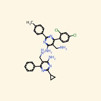 Cc1ccc(-c2nc(N)c(CN)c(-c3ccc(Cl)cc3Cl)n2)cc1.NCc1c(N)nc(C2CC2)nc1-c1ccccc1